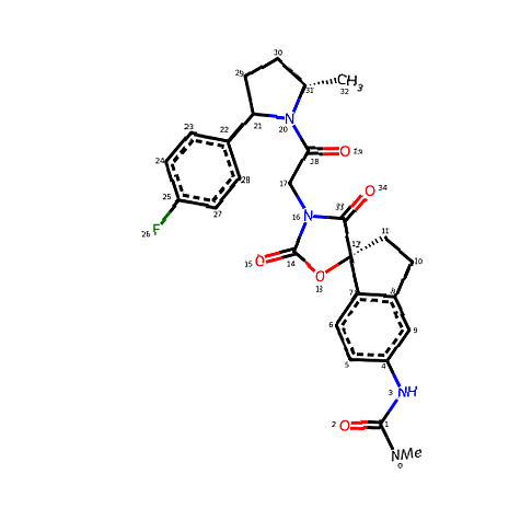 CNC(=O)Nc1ccc2c(c1)CC[C@@]21OC(=O)N(CC(=O)N2C(c3ccc(F)cc3)CC[C@@H]2C)C1=O